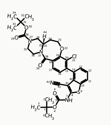 CC(C)(C)OC(=O)Nc1sc2cccc(-c3ccc4c(c3Cl)OCC[C@H]3CN(C(=O)OC(C)(C)C)CCN3C4=O)c2c1C#N